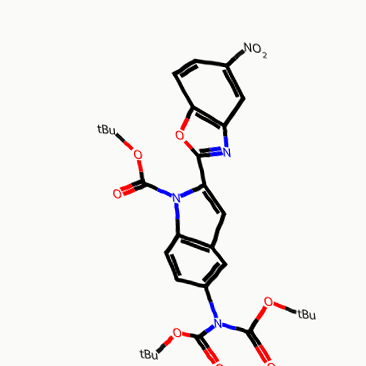 CC(C)(C)OC(=O)N(C(=O)OC(C)(C)C)c1ccc2c(c1)cc(-c1nc3cc([N+](=O)[O-])ccc3o1)n2C(=O)OC(C)(C)C